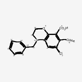 COc1c(Cl)cc2c(c1C(=O)O)OCCN2Cc1ccccc1